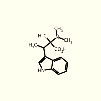 CC(c1c[nH]c2ccccc12)C(C)(C(=O)O)N(C)C